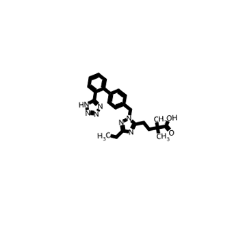 CCc1nc(CCC(C)(C)C(=O)O)n(Cc2ccc(-c3ccccc3-c3nnn[nH]3)cc2)n1